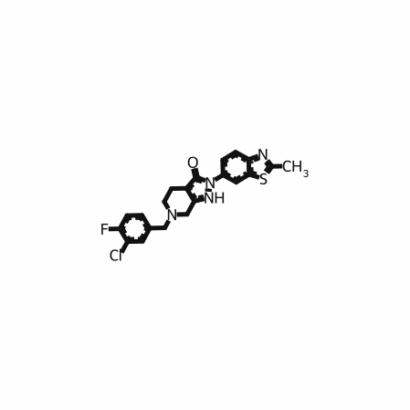 Cc1nc2ccc(-n3[nH]c4c(c3=O)CCN(Cc3ccc(F)c(Cl)c3)C4)cc2s1